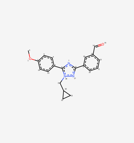 COc1ccc(-c2nc(-c3cccc(C=O)c3)nn2CC2CC2)cc1